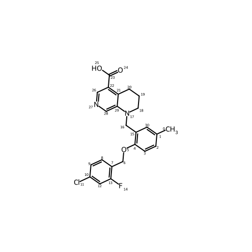 Cc1ccc(OCc2ccc(Cl)cc2F)c(CN2CCCc3c(C(=O)O)cncc32)c1